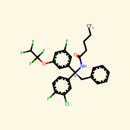 O=C(CCCC(F)(F)F)N[C@@](Cc1ccccc1)(c1cc(F)cc(OC(F)(F)C(F)F)c1)c1ccc(F)c(Cl)c1